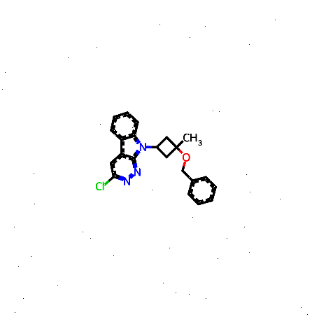 CC1(OCc2ccccc2)CC(n2c3ccccc3c3cc(Cl)nnc32)C1